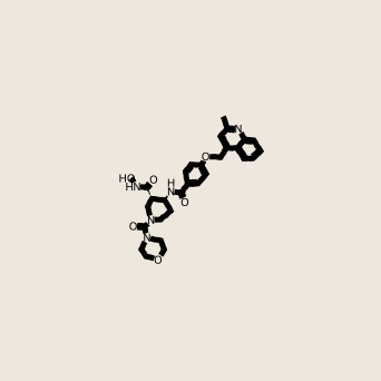 Cc1cc(COc2ccc(C(=O)N[C@@H]3CCN(C(=O)N4CCOCC4)C[C@@H]3C(=O)NO)cc2)c2ccccc2n1